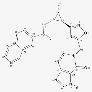 C/C(=C\[C@@H]1[C@H](C)[C@H]1c1noc(Cn2cnc3ncn(C)c3c2=O)n1)c1ccc2ccncc2c1